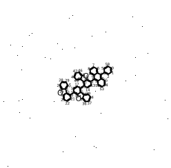 c1ccc(-c2c3ccccc3c(-c3ccc(-c4ccc(-c5cccc6oc7ccccc7c56)c5oc6ccccc6c45)c4c3oc3ccccc34)c3ccccc23)cc1